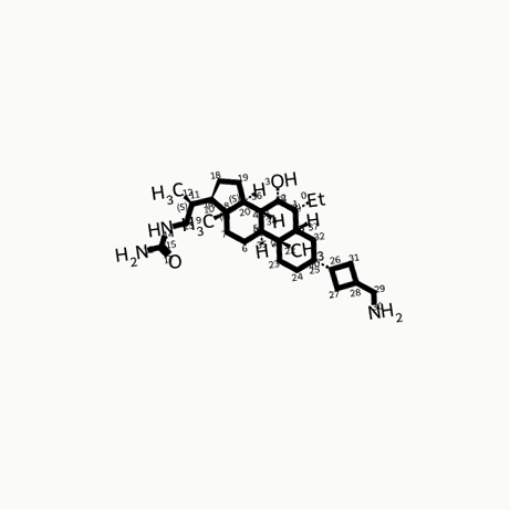 CC[C@H]1[C@@H](O)[C@@H]2[C@H](CC[C@]3(C)[C@@H]([C@H](C)CNC(N)=O)CC[C@@H]23)[C@@]2(C)CC[C@@H](C3CC(CN)C3)C[C@@H]12